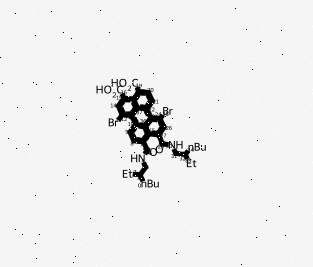 CCCCC(CC)CNC(=O)c1ccc2c3c(Br)cc(C(=O)O)c4c(C(=O)O)ccc(c5c(Br)cc(C(=O)NCC(CC)CCCC)c1c25)c43